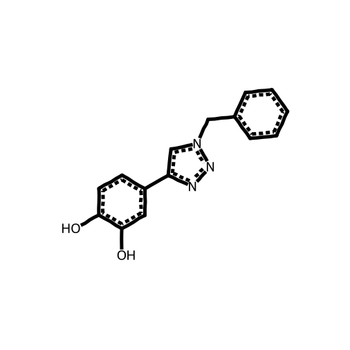 Oc1ccc(-c2cn(Cc3ccccc3)nn2)cc1O